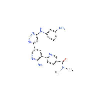 CN(C)C(=O)c1ccc(-c2cc(-c3cc(Nc4cccc(N)c4)ncn3)cnc2N)nc1